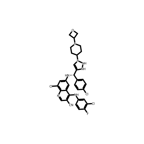 N#Cc1cnc2c(Cl)cc(N[C@H](C3=CN(C4CCN(C5COC5)CC4)NN3)c3ccc(Cl)cc3)cc2c1Nc1ccc(F)c(Cl)c1